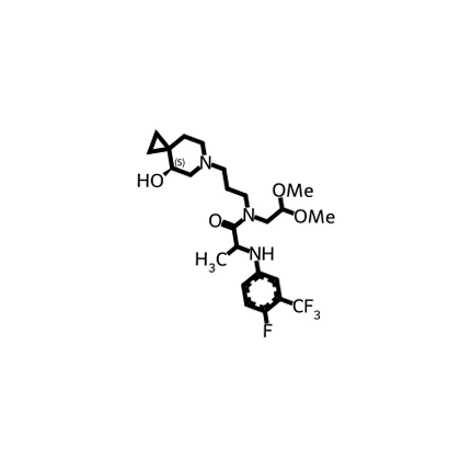 COC(CN(CCCN1CCC2(CC2)[C@H](O)C1)C(=O)C(C)Nc1ccc(F)c(C(F)(F)F)c1)OC